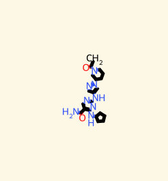 C=CC(=O)N1CCC[C@@H](n2cc(Nc3ncc(C(N)=O)c(NC4CCCC4)n3)cn2)C1